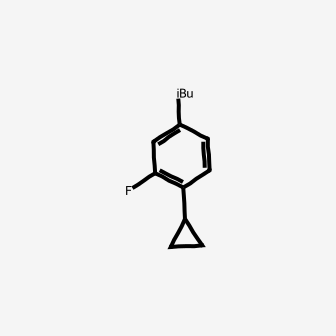 CCC(C)c1ccc(C2CC2)c(F)c1